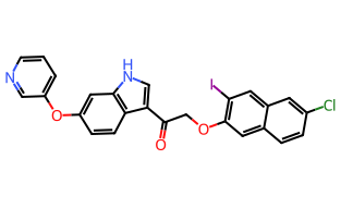 O=C(COc1cc2ccc(Cl)cc2cc1I)c1c[nH]c2cc(Oc3cccnc3)ccc12